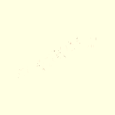 CC(C)COC(=O)c1ccc(C(=O)NS(=O)(=O)c2ccc(C(=O)NCCc3ccc(F)cc3)cc2)cn1